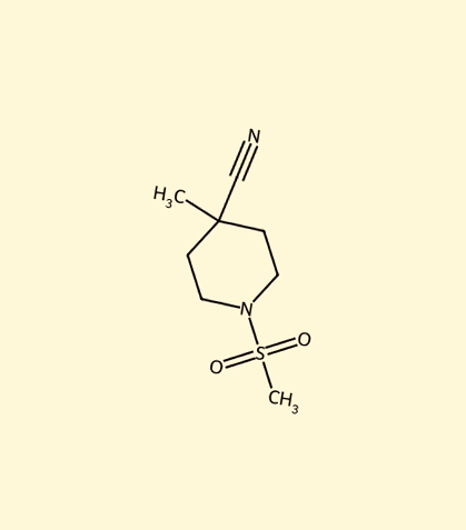 CC1(C#N)CCN(S(C)(=O)=O)CC1